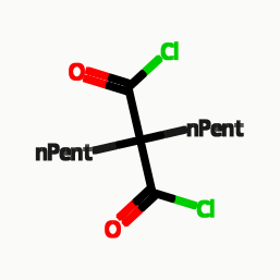 CCCCCC(CCCCC)(C(=O)Cl)C(=O)Cl